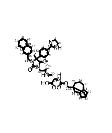 CC1(c2ccc(C3=NCCN3)cc2)C(=O)N(CC(=O)NC[C@H](NC(=O)OCC23CCCC4CC(CC4C2)C3)C(=O)O)C(=O)N1Cc1ccc2ccccc2c1